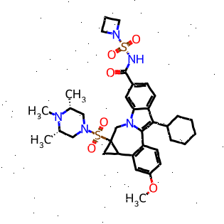 COc1ccc2c(c1)C1CC1(S(=O)(=O)N1C[C@@H](C)N(C)[C@@H](C)C1)Cn1c-2c(C2CCCCC2)c2ccc(C(=O)NS(=O)(=O)N3CCC3)cc21